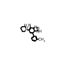 Cc1cccc(C2=CC(N3CCCCC3)=C(N)C3=NONC23)c1